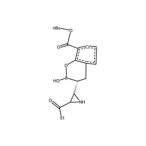 CCCCOC(=O)c1cccc2c1OB(O)[C@@H](C1NC1C(=O)CC)C2